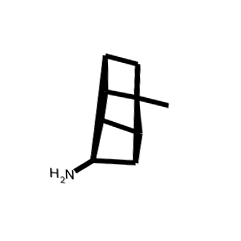 CC12C3C4C1C1C2C3C41N